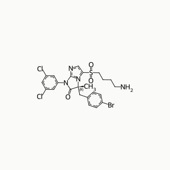 C[C@@]1(Cc2ccc(Br)cc2)C(=O)N(c2cc(Cl)cc(Cl)c2)c2ncc(S(=O)(=O)CCCCN)n21